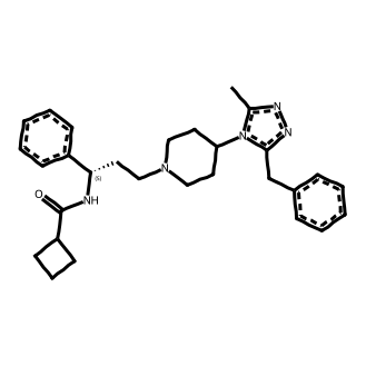 Cc1nnc(Cc2ccccc2)n1C1CCN(CC[C@H](NC(=O)C2CCC2)c2ccccc2)CC1